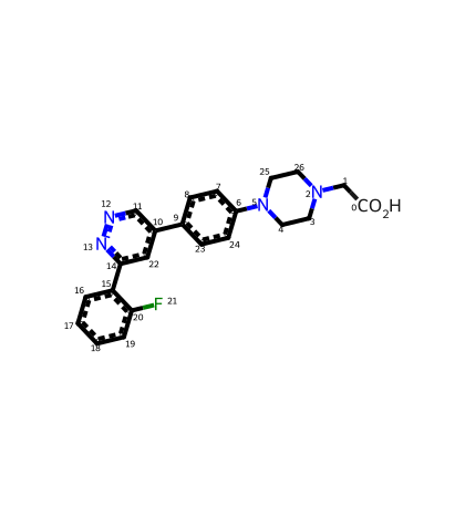 O=C(O)CN1CCN(c2ccc(-c3cnnc(-c4ccccc4F)c3)cc2)CC1